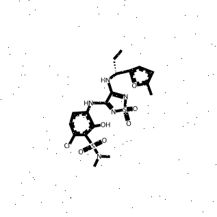 CC[C@@H](NC1=NS(=O)(=O)N=C1Nc1ccc(Cl)c(S(=O)(=O)N(C)C)c1O)c1ccc(C)o1